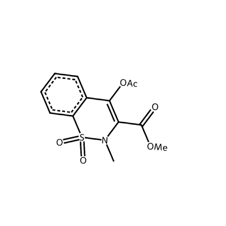 COC(=O)C1=C(OC(C)=O)c2ccccc2S(=O)(=O)N1C